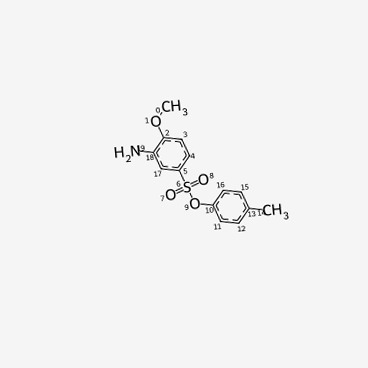 COc1ccc(S(=O)(=O)Oc2ccc(C)cc2)cc1N